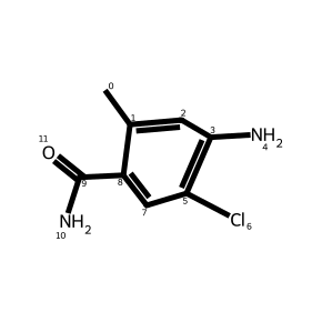 Cc1cc(N)c(Cl)cc1C(N)=O